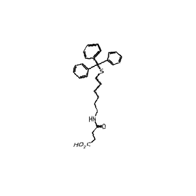 O=C(O)CCC(=O)NCCCCCCSC(c1ccccc1)(c1ccccc1)c1ccccc1